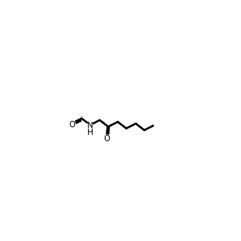 CCCCCC(=O)CN[C]=O